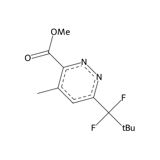 COC(=O)c1nnc(C(F)(F)C(C)(C)C)cc1C